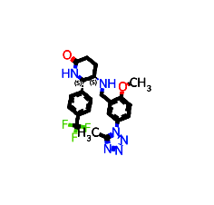 COc1ccc(-n2nnnc2C)cc1CN[C@H]1CCC(=O)N[C@H]1c1ccc(C(F)(F)F)cc1